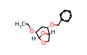 CCO[C@@H]1C[C@H](OCc2ccccc2)[C@H]2CO[C@@H]1O2